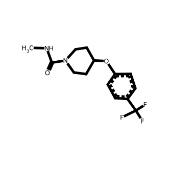 CNC(=O)N1CCC(Oc2ccc(C(F)(F)F)cc2)CC1